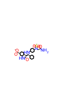 COC(=O)c1ccc2c(c1)NC(=O)C2=C(Nc1ccc(N(CC(N)=O)S(C)(=O)=O)cc1)c1ccccc1